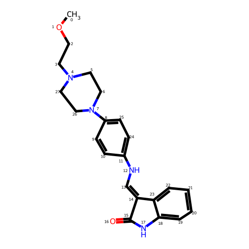 COCCN1CCN(c2ccc(N/C=C3/C(=O)Nc4ccccc43)cc2)CC1